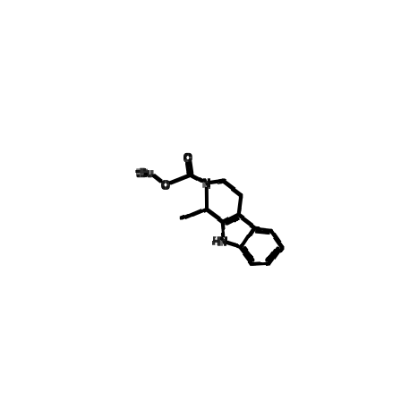 CC1c2[nH]c3ccccc3c2CCN1C(=O)OC(C)(C)C